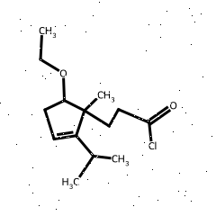 CCOC1CC=C(C(C)C)C1(C)CCC(=O)Cl